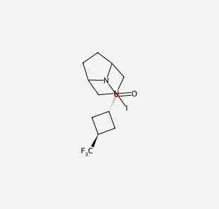 O=C([C@H]1C[C@H](C(F)(F)F)C1)N1C2CCC1CN(I)C2